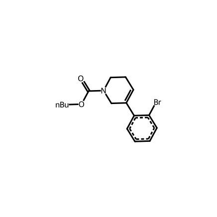 CCCCOC(=O)N1CCC=C(c2ccccc2Br)C1